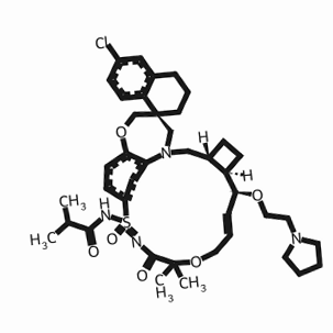 CC(C)C(=O)NS1(=O)=NC(=O)C(C)(C)OC/C=C/[C@H](OCCN2CCCC2)[C@@H]2CC[C@H]2CN2C[C@@]3(CCCc4cc(Cl)ccc43)COc3ccc1cc32